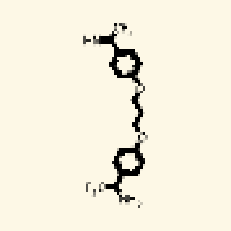 N=C(c1ccc(OCCCOc2ccc(C(N)C(F)(F)F)cc2)cc1)C(F)(F)F